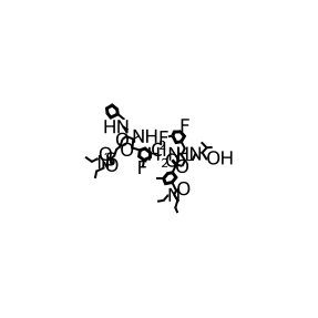 CCCN(CCC)C(=O)c1cc(C)cc(C(=O)O[C@H](CNC(CO)C(C)C)[C@@H](N)Cc2cc(F)cc(F)c2)c1.CCCN(CCC)S(=O)(=O)CCC(=O)O[C@H](CNCc1ccccc1)[C@@H](N)Cc1cc(F)cc(Cl)c1